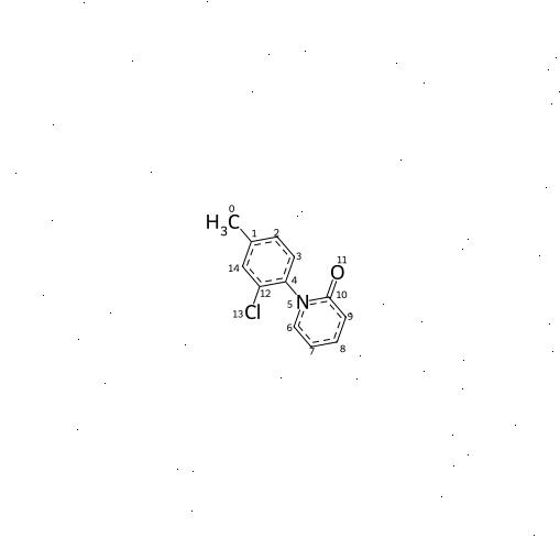 Cc1ccc(-n2ccccc2=O)c(Cl)c1